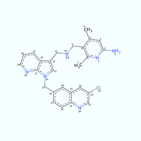 Cc1cc(N)nc(C)c1CNCc1cn(Cc2ccc3ncc(Cl)cc3c2)c2ncccc12